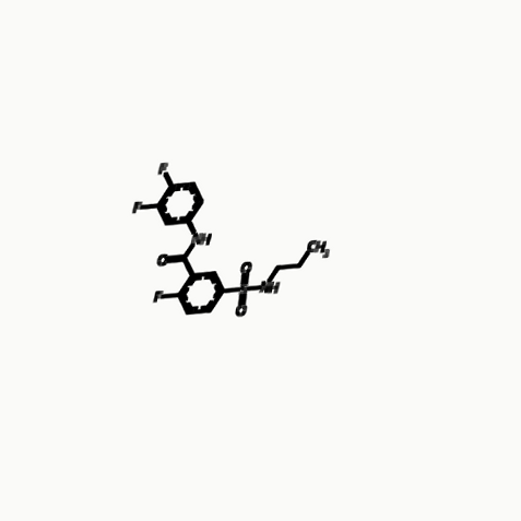 CCCNS(=O)(=O)c1ccc(F)c(C(=O)Nc2ccc(F)c(F)c2)c1